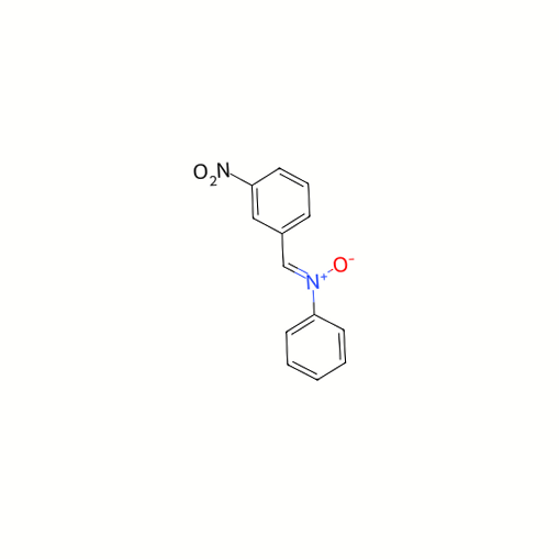 O=[N+]([O-])c1cccc(/C=[N+](\[O-])c2ccccc2)c1